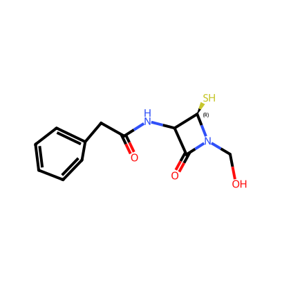 O=C(Cc1ccccc1)NC1C(=O)N(CO)[C@@H]1S